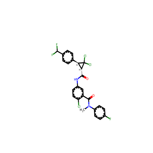 CN(C(=O)c1cc(NC(=O)[C@@H]2[C@@H](c3ccc(C(F)F)cc3)C2(Cl)Cl)ccc1Cl)c1ccc(F)cc1